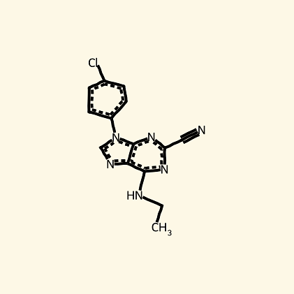 CCNc1nc(C#N)nc2c1ncn2-c1ccc(Cl)cc1